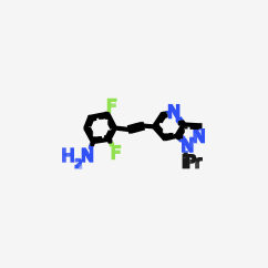 CC(C)n1ncc2ncc(C#Cc3c(F)ccc(N)c3F)cc21